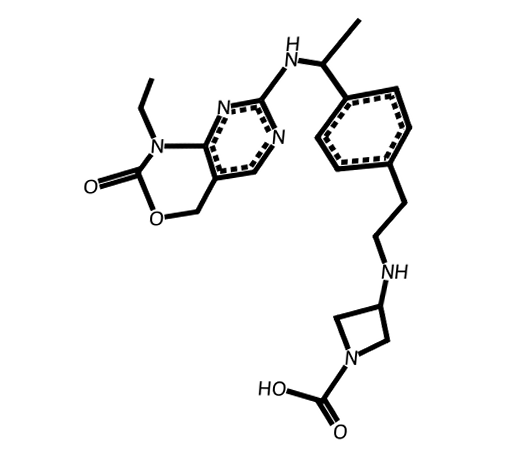 CCN1C(=O)OCc2cnc(NC(C)c3ccc(CCNC4CN(C(=O)O)C4)cc3)nc21